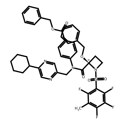 Cc1c(F)c(F)c(F)c(S(=O)(=O)N2CC[C@@]2(OCc2ccccc2)C(=O)N(Cc2cnc(C3CCCCC3)cn2)c2ccc(C(=O)OCc3ccccc3)cc2)c1F